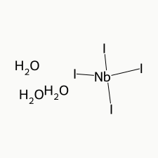 O.O.O.[I][Nb]([I])([I])[I]